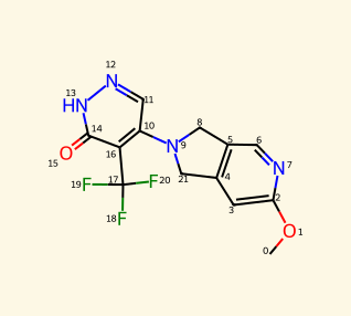 COc1cc2c(cn1)CN(c1cn[nH]c(=O)c1C(F)(F)F)C2